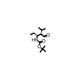 CC[C@H](NC(=O)OC(C)(C)C)[C@H](C=O)C(C)C